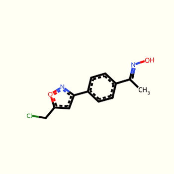 CC(=NO)c1ccc(-c2cc(CCl)on2)cc1